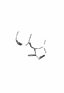 C=c1cnn(C)/c1=C(/N=C\C)C(C)C